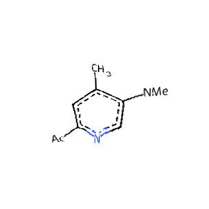 CNc1cnc(C(C)=O)cc1C